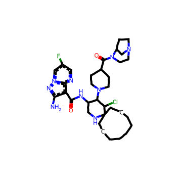 Nc1nn2cc(F)cnc2c1C(=O)NC1CNC2(CCCCCCCCC2)C(Cl)C1N1CCC(C(=O)N2CCN3CCC2C3)CC1